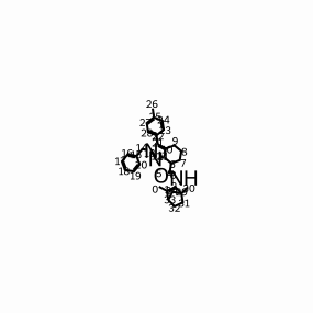 CC1=C(NC(=O)C2CCCc3c2nn(Cc2ccccc2)c3-c2ccc(C)cc2)C2(C)CCC1C2